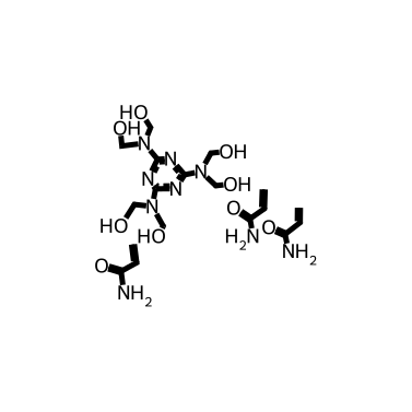 C=CC(N)=O.C=CC(N)=O.C=CC(N)=O.OCN(CO)c1nc(N(CO)CO)nc(N(CO)CO)n1